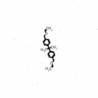 C=COCc1ccc(C(C)(C)c2ccc(COC=C)cc2)cc1